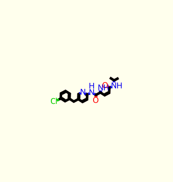 CC(C)NC(=O)/C=C\C(=N)C(=O)Nc1ccc(Cc2cccc(Cl)c2)cn1